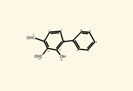 O=Cc1ccc(-c2ccccc2)c(O)c1C=O